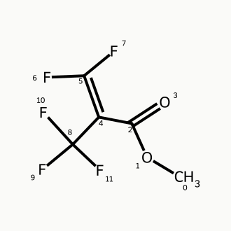 COC(=O)C(=C(F)F)C(F)(F)F